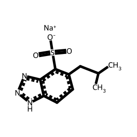 CC(C)Cc1ccc2[nH]nnc2c1S(=O)(=O)[O-].[Na+]